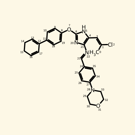 C/C(Cl)=C\c1[nH]c(Oc2ccc(C3=CCCC=C3)cc2)nc1/N=C/c1ccc(N2CCOCC2)cc1